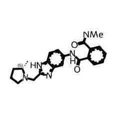 CNC(=O)c1ccccc1C(=O)Nc1ccc2[nH]c(CN3CCC[C@@H]3C)nc2c1